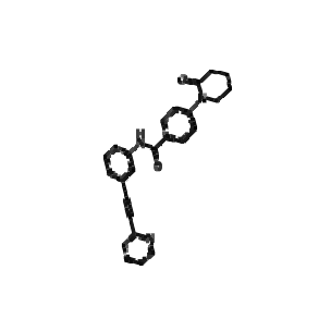 O=C(Nc1cccc(C#Cc2ccccn2)c1)c1ccc(N2CCCCC2=O)cc1